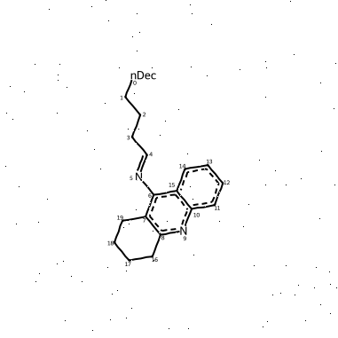 CCCCCCCCCCCCCC=Nc1c2c(nc3ccccc13)CCCC2